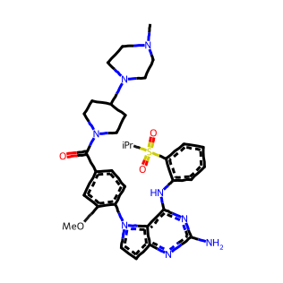 COc1cc(C(=O)N2CCC(N3CCN(C)CC3)CC2)ccc1-n1ccc2nc(N)nc(Nc3ccccc3S(=O)(=O)C(C)C)c21